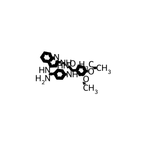 CCOc1cc(C(Nc2ccc(C(=N)N)cc2)C(=O)NNc2ccc3ccccc3n2)ccc1OC(C)C